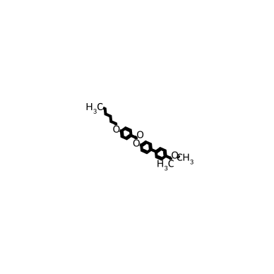 CCCCCCOc1ccc(C(=O)Oc2ccc(-c3ccc(C(C)OC)cc3)cc2)cc1